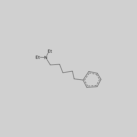 CCN(CC)CCCCCc1ccccc1